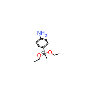 CCO[Si](C)(OCC)c1ccc(N)cc1